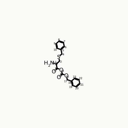 N[C@@H](CSCc1ccccc1)C(=O)OC(=O)OCc1ccccc1